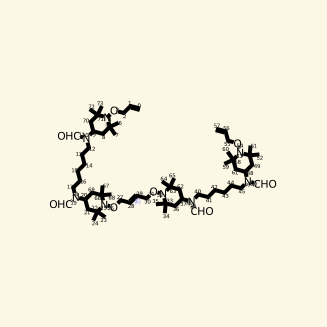 C=CCON1C(C)(C)CC(N(C=O)CCCCCCN(C=O)C2CC(C)(C)N(OC/C=C/CON3C(C)(C)CC(N(C=O)CCCCCCN(C=O)C4CC(C)(C)N(OCC=C)C(C)(C)C4)CC3(C)C)C(C)(C)C2)CC1(C)C